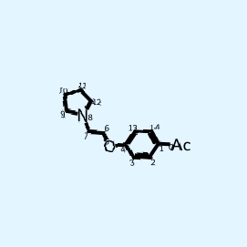 CC(=O)c1ccc(OCCN2CCCC2)cc1